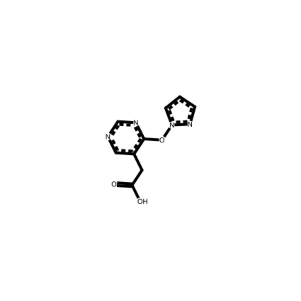 O=C(O)Cc1cncnc1On1cccn1